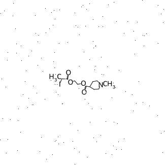 CC(I)C(=O)OCCOC(=O)C1CCN(C)CC1